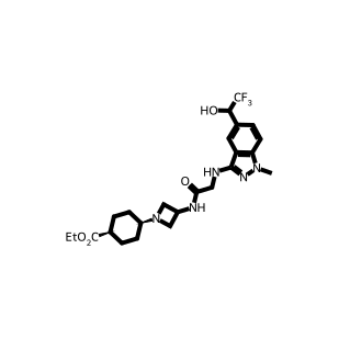 CCOC(=O)[C@H]1CC[C@@H](N2CC(NC(=O)CNc3nn(C)c4ccc(C(O)C(F)(F)F)cc34)C2)CC1